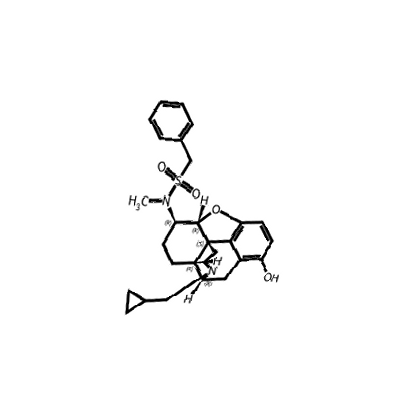 CN([C@@H]1CC[C@H]2[C@H]3Cc4c(O)ccc5c4[C@@]2(CCN3CC2CC2)[C@H]1O5)S(=O)(=O)Cc1ccccc1